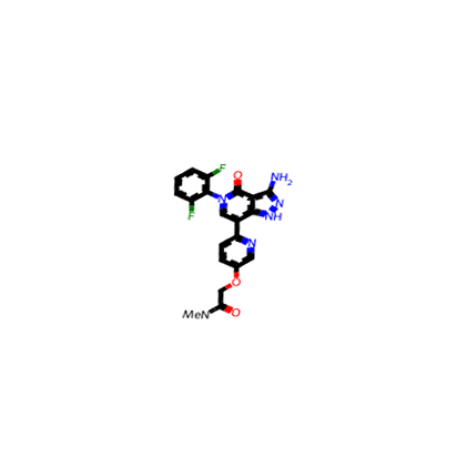 CNC(=O)COc1ccc(-c2cn(-c3c(F)cccc3F)c(=O)c3c(N)n[nH]c23)nc1